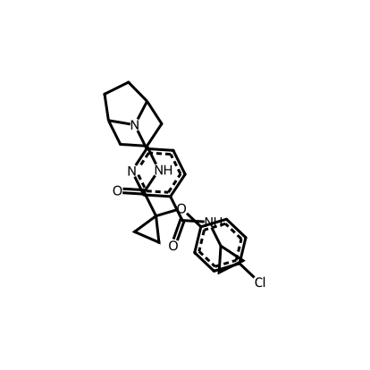 O=C(NC1CC1)c1ccc(N2C3CCC2CC(NC(=O)C2(Oc4ccc(Cl)cc4)CC2)C3)nc1